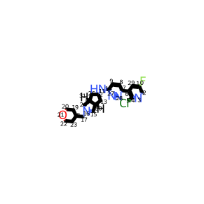 Fc1cnc(Cl)c(-c2ccc(NC3C[C@@H]4CN(CC5CCOCC5)C[C@@H]4C3)nn2)c1